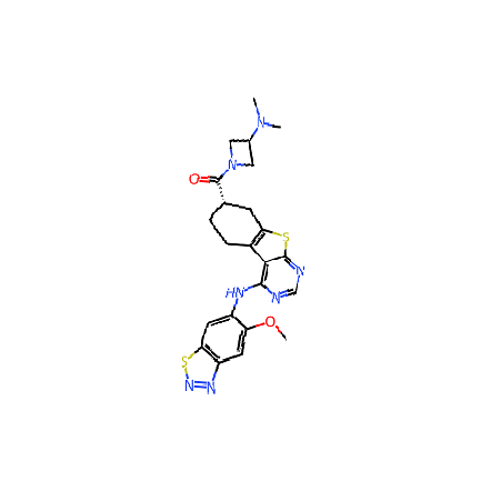 COc1cc2nnsc2cc1Nc1ncnc2sc3c(c12)CC[C@H](C(=O)N1CC(N(C)C)C1)C3